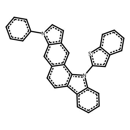 c1ccc(-n2ccc3cc4c(ccc5c6ccccc6n(-c6cc7ccccc7s6)c45)cc32)cc1